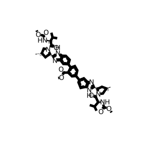 COC(=O)N[C@H](C(=O)N1C[C@@H](C)C[C@H]1c1nc2cc(-c3ccc(-c4ccc5[nH]c([C@@H]6C[C@H](C)CN6C(=O)[C@@H](NC(=O)OC)C(C)C)nc5c4)c(C(=O)OC)c3)ccc2[nH]1)C(C)C